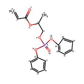 C=CC(=O)OC(C)COP(=O)(Oc1ccccc1)Oc1ccccc1